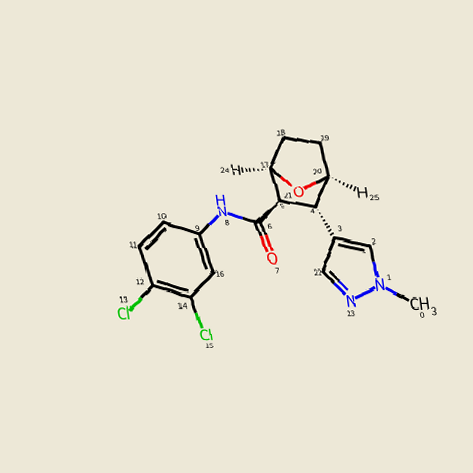 Cn1cc([C@@H]2[C@@H](C(=O)Nc3ccc(Cl)c(Cl)c3)[C@H]3CC[C@@H]2O3)cn1